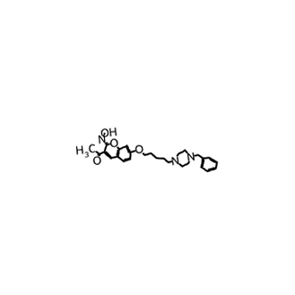 CC(=O)c1cc2ccc(OCCCCCN3CCN(Cc4ccccc4)CC3)cc2oc1=NO